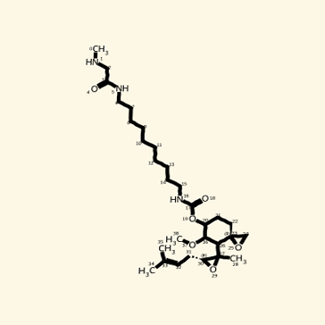 CNCC(=O)NCCCCCCCCCCNC(=O)OC1CC[C@]2(CO2)C(C2(C)O[C@@H]2CC=C(C)C)C1OC